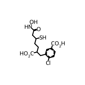 O=C(CC(S)CCC(Cc1cc(C(=O)O)ccc1Cl)C(=O)O)NO